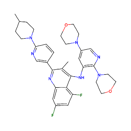 Cc1c(-c2ccc(N3CCC(C)CC3)nc2)nc2cc(F)cc(F)c2c1Nc1cc(N2CCOCC2)cnc1N1CCOCC1